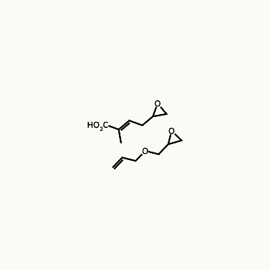 C=CCOCC1CO1.CC(=CCC1CO1)C(=O)O